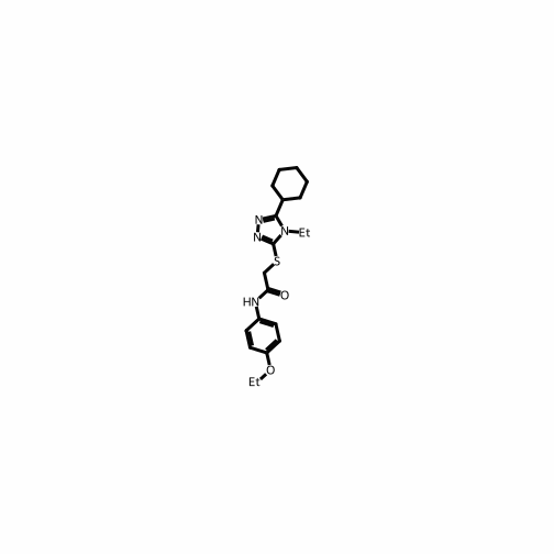 CCOc1ccc(NC(=O)CSc2nnc(C3CCCCC3)n2CC)cc1